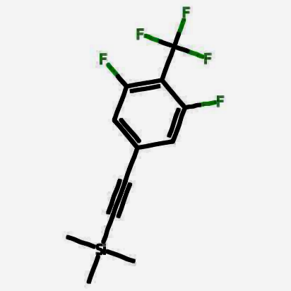 C[Si](C)(C)C#Cc1cc(F)c(C(F)(F)F)c(F)c1